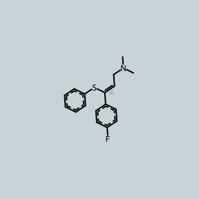 CN(C)C/C=C(\Sc1ccccc1)c1ccc(F)cc1